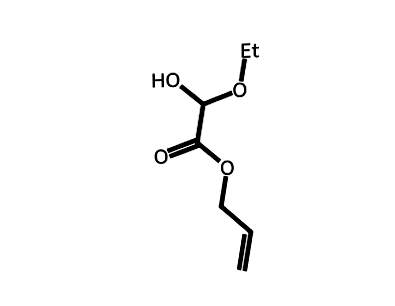 C=CCOC(=O)C(O)OCC